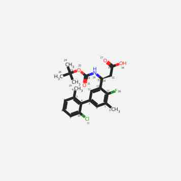 Cc1cc(-c2c(C)cccc2Cl)cc([C@H](CC(=O)O)NC(=O)OC(C)(C)C)c1F